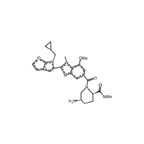 CNC(=O)[C@H]1CC[C@@H](N)CN1C(=O)c1cc(OC)c2c(c1)nc(-c1cc3ccoc3n1CC1CC1)n2C